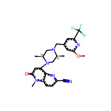 COc1cc(CN2C[C@H](C)N(c3cc(=O)n(C)c4ccc(C#N)nc34)C[C@@H]2C)cc(C(F)(F)F)n1